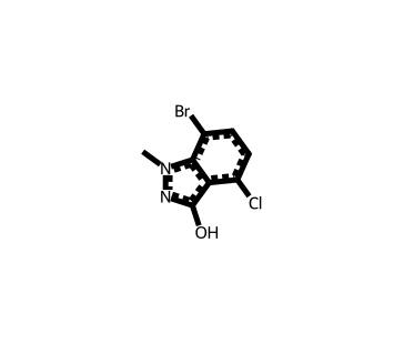 Cn1nc(O)c2c(Cl)ccc(Br)c21